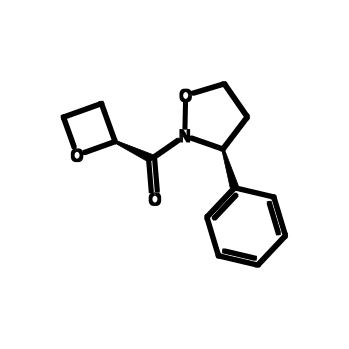 O=C([C@@H]1CCO1)N1OCC[C@H]1c1ccccc1